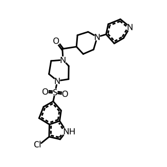 O=C(C1CCN(c2ccncc2)CC1)N1CCN(S(=O)(=O)c2ccc3c(Cl)c[nH]c3c2)CC1